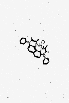 CC1=C(C)N2C(=O)N3C(C)=C(C)B(c4ccccc4)c4ccc5ccc(c2c5c43)B1c1ccccc1